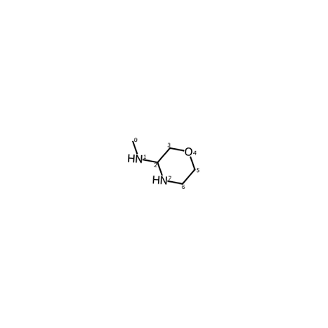 CNC1COCCN1